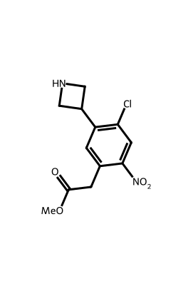 COC(=O)Cc1cc(C2CNC2)c(Cl)cc1[N+](=O)[O-]